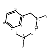 CN(C)C.CN(Cl)Cc1ccccc1